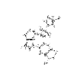 CC(C)N1CCc2ccc(-c3cn(C)c4nccc(NS(=O)(=O)c5ccn(C)n5)c34)cc21